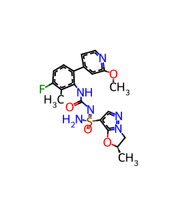 COc1cc(-c2ccc(F)c(C)c2NC(=O)N=S(N)(=O)c2cnn3c2O[C@H](C)C3)ccn1